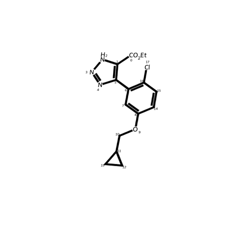 CCOC(=O)c1[nH]nnc1-c1cc(OCC2CC2)ccc1Cl